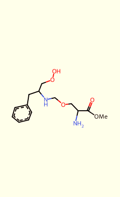 COC(=O)C(N)COCNC(COO)Cc1ccccc1